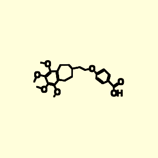 COc1c2c(c(OC)c(OC)c1OC)CCC(CCOc1ccc(C(=O)O)cc1)CC2